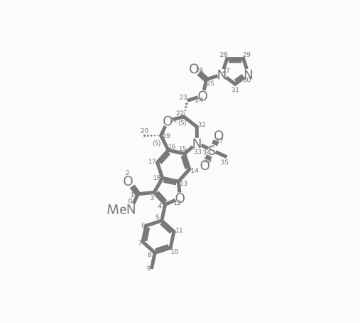 CNC(=O)c1c(-c2ccc(C)cc2)oc2cc3c(cc12)[C@H](C)O[C@H](COC(=O)n1ccnc1)CN3S(C)(=O)=O